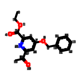 CCOC(=O)c1cc(OCc2ccccc2)cc(C(C)=O)n1